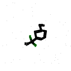 COc1cccc(C(F)(F)C(F)(F)F)c1